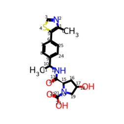 Cc1ncsc1-c1ccc(C(C)NC(=O)[C@H]2CC(O)CN2C(=O)O)cc1